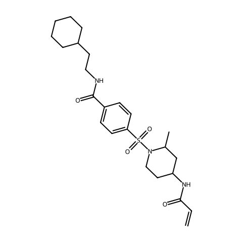 C=CC(=O)NC1CCN(S(=O)(=O)c2ccc(C(=O)NCCC3CCCCC3)cc2)C(C)C1